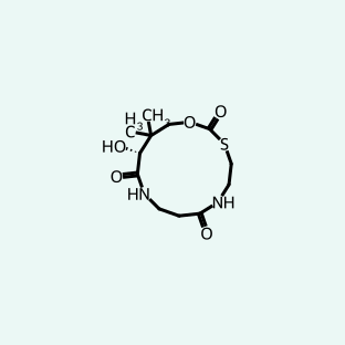 CC1(C)COC(=O)SCCNC(=O)CCNC(=O)[C@@H]1O